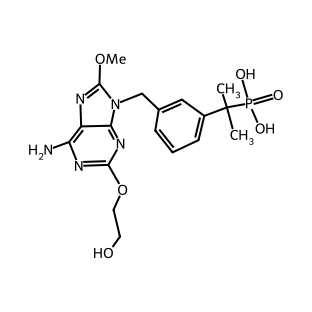 COc1nc2c(N)nc(OCCO)nc2n1Cc1cccc(C(C)(C)P(=O)(O)O)c1